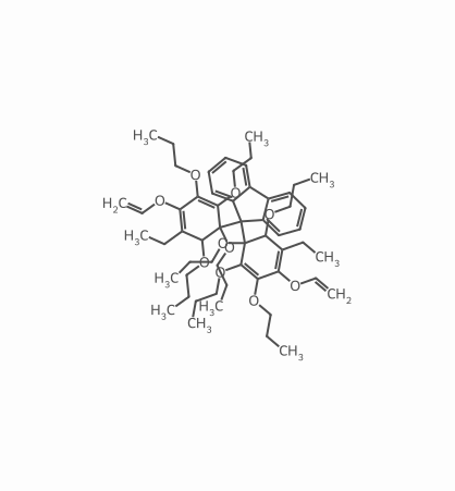 C=COC1=C(CC)C(OCCC)C(OCCC)(C2(C3(OCCC)C(OCCC)=C(OCCC)C(OC=C)=C(CC)C3OCCC)c3ccccc3-c3ccccc32)C(OCCC)=C1OCCC